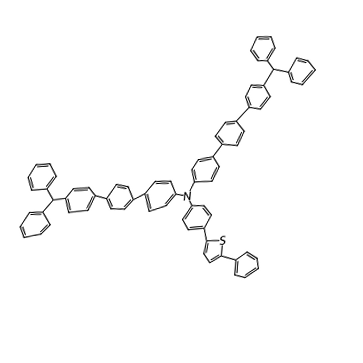 c1ccc(-c2ccc(-c3ccc(N(c4ccc(-c5ccc(-c6ccc(C(c7ccccc7)c7ccccc7)cc6)cc5)cc4)c4ccc(-c5ccc(-c6ccc(C(c7ccccc7)c7ccccc7)cc6)cc5)cc4)cc3)s2)cc1